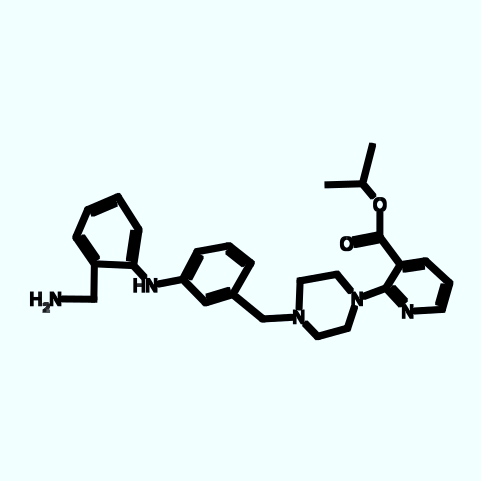 CC(C)OC(=O)c1cccnc1N1CCN(Cc2cccc(Nc3ccccc3CN)c2)CC1